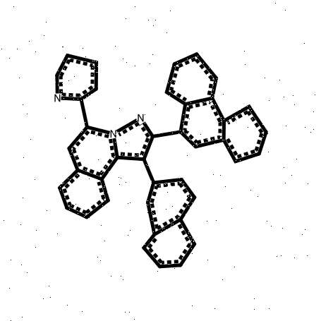 c1ccc(-c2cc3ccccc3c3c(-c4ccc5ccccc5c4)c(-c4cc5ccccc5c5ccccc45)nn23)nc1